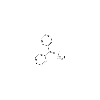 C=C(c1ccccc1)c1ccccc1.CC(=O)O